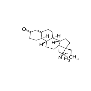 CC[C@]1(C#N)CC[C@H]2[C@@H]3CCC4=CC(=O)CC[C@@H]4[C@H]3CC[C@@]21CC